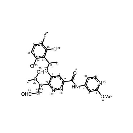 COc1cc(NC(=O)c2cc(OC(C)c3c(Cl)ccc(F)c3Cl)c(N(BC=O)B(C)O)nn2)ccn1